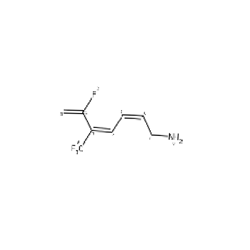 C=C(F)/C(=C\C=C/CN)C(F)(F)F